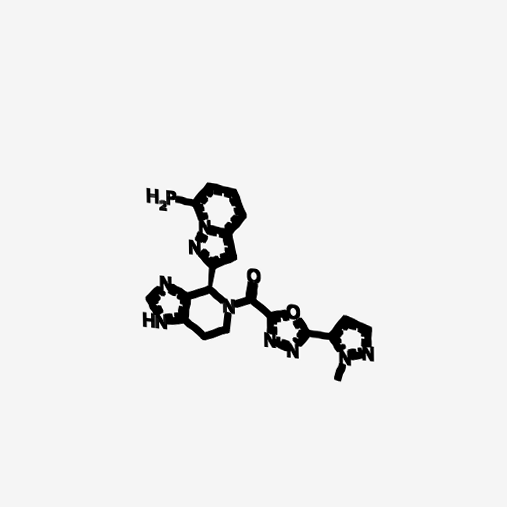 Cn1nccc1-c1nnc(C(=O)N2CCc3[nH]cnc3[C@H]2c2cc3cccc(P)n3n2)o1